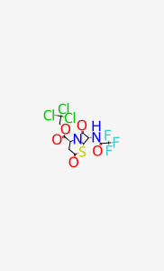 O=C1C[C@@H](C(=O)OCC(Cl)(Cl)Cl)N2C(=O)[C@H](NC(=O)C(F)(F)F)C2S1